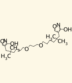 CC(C)(CCCCOCCCOCCCCC(C)(C)Cc1conc1O)Cc1conc1O